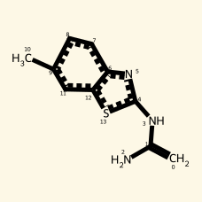 C=C(N)Nc1nc2ccc(C)cc2s1